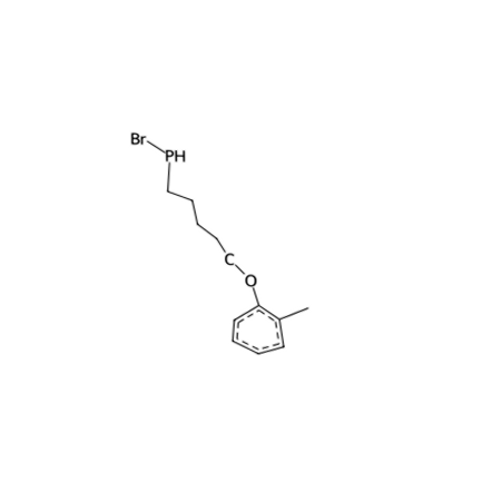 Cc1ccccc1OCCCCCPBr